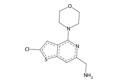 NCc1cc2sc(Cl)cc2c(N2CCOCC2)n1